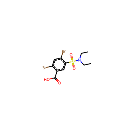 CCN(CC)S(=O)(=O)c1cc(C(=O)O)c(Br)cc1Br